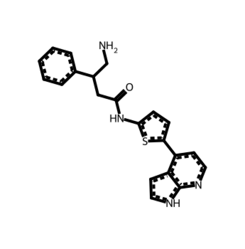 NCC(CC(=O)Nc1ccc(-c2ccnc3[nH]ccc23)s1)c1ccccc1